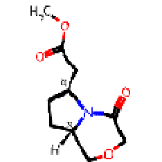 COC(=O)C[C@@H]1CC[C@H]2COCC(=O)N21